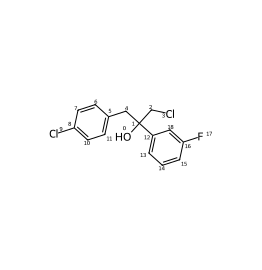 OC(CCl)(Cc1ccc(Cl)cc1)c1cccc(F)c1